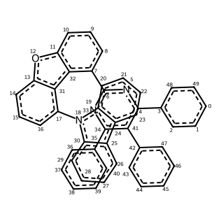 c1ccc(-c2nc(-c3cccc4oc5cccc(-n6c7ccccc7c7ccccc76)c5c34)nc(-c3ccccc3)c2-c2ccccc2)cc1